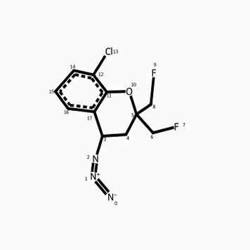 [N-]=[N+]=NC1CC(CF)(CF)Oc2c(Cl)cccc21